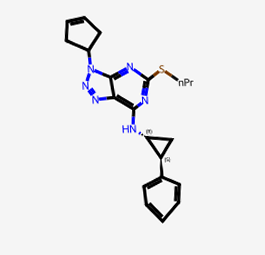 CCCSc1nc(N[C@@H]2C[C@H]2c2ccccc2)c2nnn(C3CC=CC3)c2n1